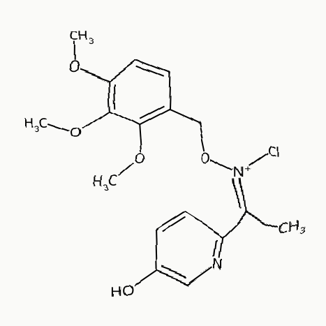 COc1ccc(CO[N+](Cl)=C(C)c2ccc(O)cn2)c(OC)c1OC